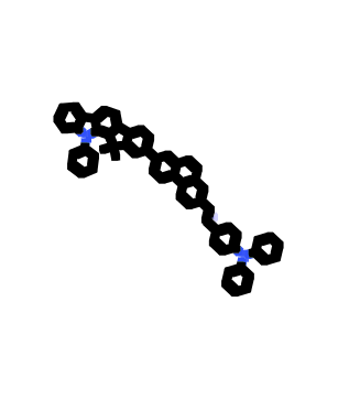 CC1(C)c2cc(-c3ccc4c(ccc5cc(/C=C/c6ccc(N(c7ccccc7)c7ccccc7)cc6)ccc54)c3)ccc2-c2ccc3c4ccccc4n(-c4ccccc4)c3c21